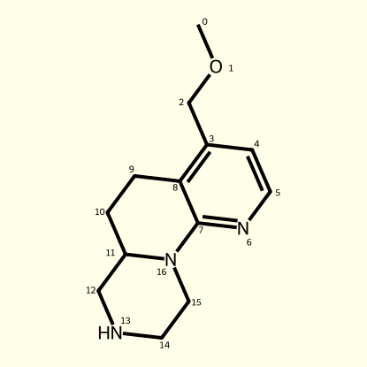 COCc1ccnc2c1CCC1CNCCN21